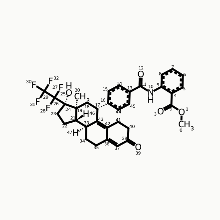 COC(=O)c1ccccc1NC(=O)c1ccc([C@H]2C[C@@]3(C)[C@@H](CC[C@@]3(O)C(F)(F)C(F)(F)F)[C@@H]3CCC4=CC(=O)CCC4=C32)cc1